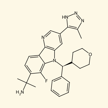 Cc1nn[nH]c1-c1cnc2c3ccc(C(C)(C)N)c(F)c3n([C@H](c3ccccc3)C3CCOCC3)c2c1